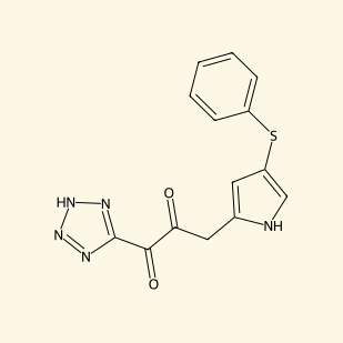 O=C(Cc1cc(Sc2ccccc2)c[nH]1)C(=O)c1nn[nH]n1